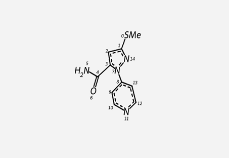 CSc1cc(C(N)=O)n(-c2ccncc2)n1